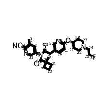 Cc1cc(N(C(=O)C2(C)CCC2)C(=S)Cc2ccc(OC3CCN(CCF)CC3)nc2)cnc1C#N